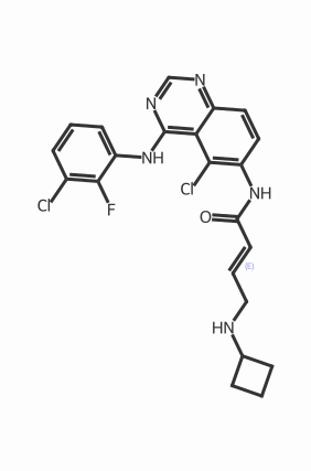 O=C(/C=C/CNC1CCC1)Nc1ccc2ncnc(Nc3cccc(Cl)c3F)c2c1Cl